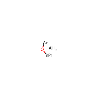 CCCOC(C)=O.[AlH3]